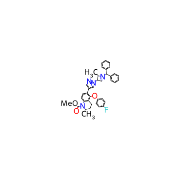 COC(=O)N1c2ccc(-c3cnn(C4CN(C(c5ccccc5)c5ccccc5)C4C)c3)c(Oc3ccc(F)cc3)c2CC[C@@H]1C